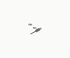 Br.CC#N.N